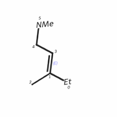 CC/C(C)=C/CNC